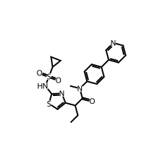 CCC(C(=O)N(C)c1ccc(-c2cccnc2)cc1)c1csc(NS(=O)(=O)C2CC2)n1